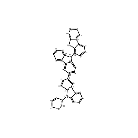 C1=CC(N2c3ccccc3C3C=C(c4ccc5c(c4)c4ccccc4n5-c4cccc5c4sc4ccccc45)C=CC32)=CCC1